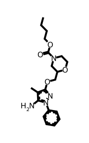 CCCCOC(=O)N1CCOC(COc2nn(-c3ccccc3)c(N)c2C)C1